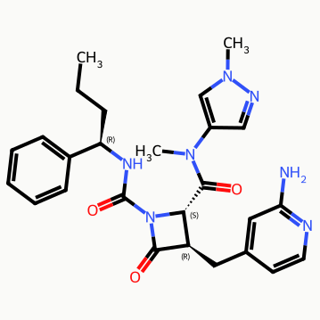 CCC[C@@H](NC(=O)N1C(=O)[C@H](Cc2ccnc(N)c2)[C@H]1C(=O)N(C)c1cnn(C)c1)c1ccccc1